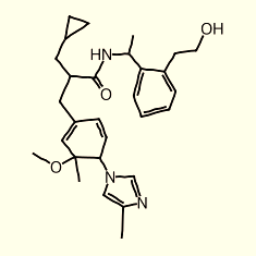 COC1(C)C=C(CC(CC2CC2)C(=O)NC(C)c2ccccc2CCO)C=CC1n1cnc(C)c1